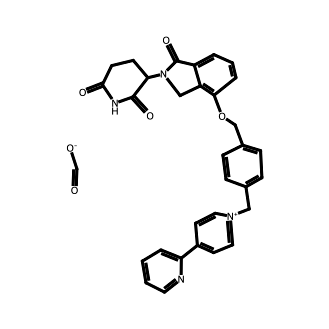 O=C1CCC(N2Cc3c(OCc4ccc(C[n+]5ccc(-c6ccccn6)cc5)cc4)cccc3C2=O)C(=O)N1.O=C[O-]